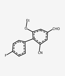 CCOc1cc(C=O)cc(C#N)c1-c1ccc(F)cc1